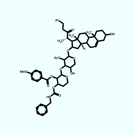 COc1ccc(C(=O)OC2C(OC(=O)NCc3ccccc3)CCOC2OC2C(O)COC(OC3C[C@H]4C5CC=C6CC(O)CCC6(C)C5CCC4(C)C3[C@H](C)C(=O)CCC(C)C)C2OC(C)=O)cc1